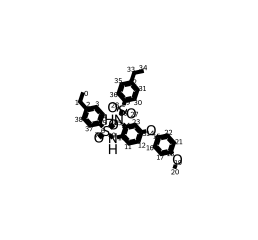 CCc1ccc(S(=O)(=O)Nc2ccc(Oc3ccc(OC)cc3)cc2NS(=O)(=O)c2ccc(CC)cc2)cc1